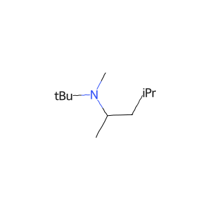 CC(C)CC(C)N(C)C(C)(C)C